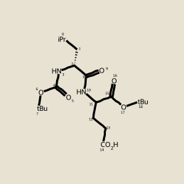 CC(C)C[C@@H](NC(=O)OC(C)(C)C)C(=O)NC(CCC(=O)O)C(=O)OC(C)(C)C